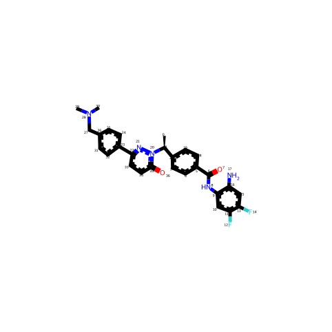 C[C@@H](c1ccc(C(=O)Nc2cc(F)c(F)cc2N)cc1)n1nc(-c2ccc(CN(C)C)cc2)ccc1=O